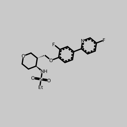 CCS(=O)(=O)N[C@H]1CCOC[C@@H]1COc1ccc(-c2ccc(F)cn2)cc1F